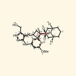 COc1cc(Nc2n[nH]c(CO)c2F)nc(N(C)[C@@H]2C[C@H]3CCC[C@@H](C2)N3S(=O)(=O)N2CC(C#N)C2)n1